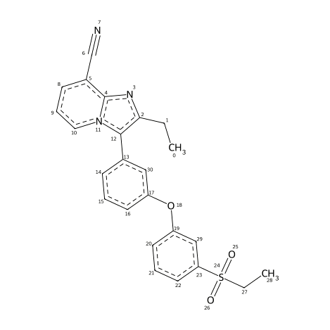 CCc1nc2c(C#N)cccn2c1-c1cccc(Oc2cccc(S(=O)(=O)CC)c2)c1